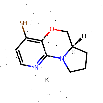 Sc1ccnc2c1OC[C@@H]1CCCN21.[K]